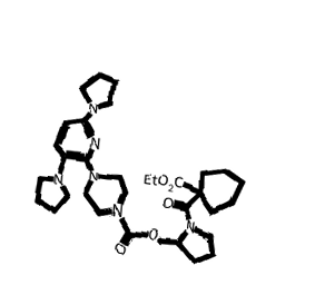 CCOC(=O)C1(C(=O)N2CCCC2COC(=O)N2CCN(c3nc(N4CCCC4)ccc3N3CCCC3)CC2)CCCCC1